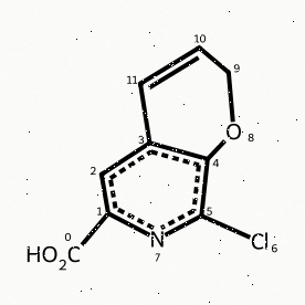 O=C(O)c1cc2c(c(Cl)n1)OCC=C2